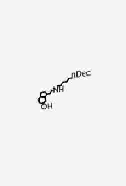 CCCCCCCCCCCCCCCCNCCC1CCc2ccc(O)cc21